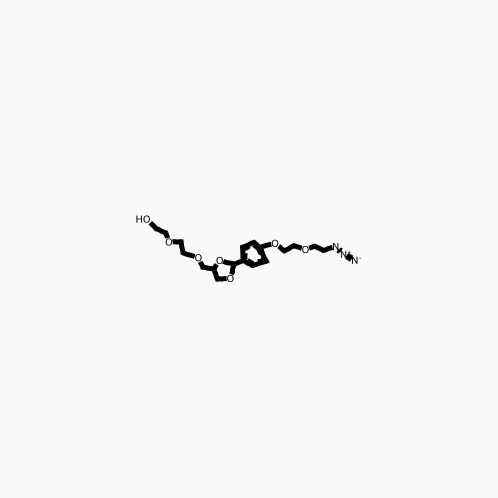 [N-]=[N+]=NCCOCCOc1ccc(C2OCC(COCCOCCO)O2)cc1